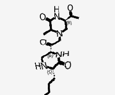 CCCC[C@@H]1NC[C@H](C(=O)CN2C[C@H](C(C)=O)NC(=O)C2C)NC1=O